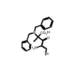 CC(C)CC(N)C(=O)C(C)(C(=O)O)N(Cc1ccccc1)Cc1ccccc1